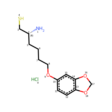 Cl.N[C@@H](CS)CCCCOc1ccc2c(c1)OCO2